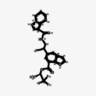 C[C@@H](OC(=O)c1cc(C(F)CNC(=O)c2cnn3cccnc23)cc2ccoc12)C(F)(F)F